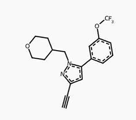 C#Cc1cc(-c2cccc(OC(F)(F)F)c2)n(CC2CCOCC2)n1